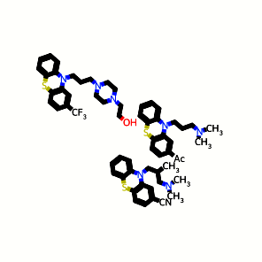 CC(=O)c1ccc2c(c1)N(CCCN(C)C)c1ccccc1S2.CC(CN(C)C)CN1c2ccccc2Sc2ccc(C#N)cc21.OCCN1CCN(CCCN2c3ccccc3Sc3ccc(C(F)(F)F)cc32)CC1